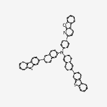 c1ccc2c(c1)oc1nc(-c3ccc(N(c4ccc5cc(-c6ccc7c(c6)sc6ccccc67)ccc5c4)c4ccc5cc(-c6ccc7c(c6)sc6ccccc67)ccc5c4)cc3)ccc12